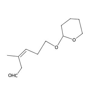 CC(=CCCOC1CCCCO1)CC=O